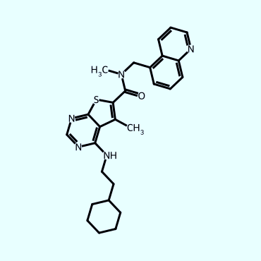 Cc1c(C(=O)N(C)Cc2cccc3ncccc23)sc2ncnc(NCCC3CCCCC3)c12